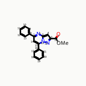 COC(=O)c1cc2nc(-c3ccccc3)cc(-c3ccccc3)n2n1